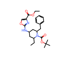 CCOC(=O)c1coc(NC2CC(CC)N(C(=O)OC(C)(C)C)C(Cc3ccccc3)C2)n1